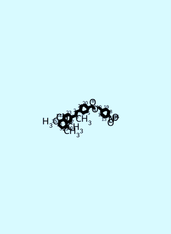 CC(=Cc1ccc(C(=O)OCc2ccc([N+](=O)[O-])cc2)cc1)c1ccc2c(c1)C(C)(C)CCC2(C)C